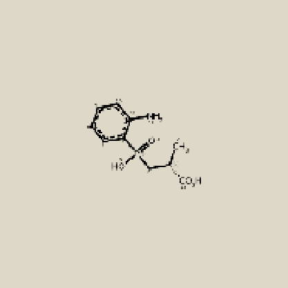 C[C@@H](CP(=O)(O)c1ccccc1N)C(=O)O